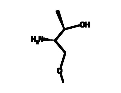 COC[C@H](N)[C@@H](C)O